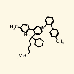 COCCCC[C@@](O)(c1ccccc1-c1ccc(C)cc1)C1CCCNC1.Cc1ccc(-c2ccccc2Br)cc1